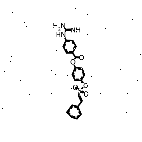 N=C(N)Nc1ccc(C(=O)Oc2ccc(OS(=O)(=O)/C=C/c3ccccc3)cc2)cc1